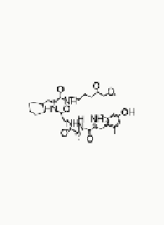 COCC(=O)CCCCNC(=O)[C@H](CC1CCCCC1)NC(=O)CNC(=O)[C@@H](C)NC(=O)[C@@H](N)Cc1c(C)cc(O)cc1C